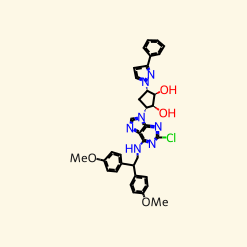 COc1ccc(C(CNc2nc(Cl)nc3c2ncn3[C@@H]2C[C@H](n3ccc(-c4ccccc4)n3)[C@@H](O)[C@H]2O)c2ccc(OC)cc2)cc1